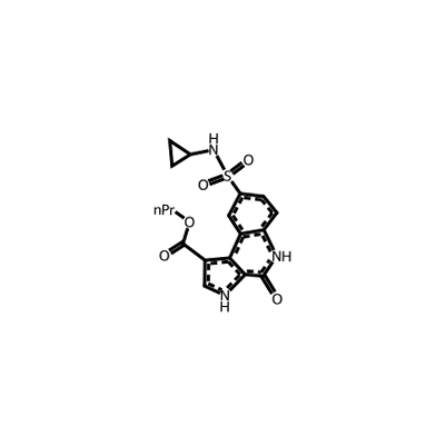 CCCOC(=O)c1c[nH]c2c(=O)[nH]c3ccc(S(=O)(=O)NC4CC4)cc3c12